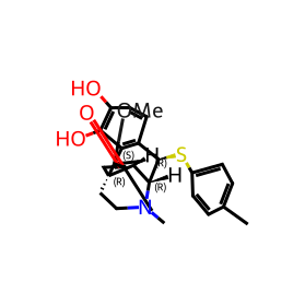 COC1=C[C@@H]2[C@@H]3[C@H](Sc4ccc(C)cc4)c4ccc(O)c(O)c4[C@]2(CCN3C)CC1=O